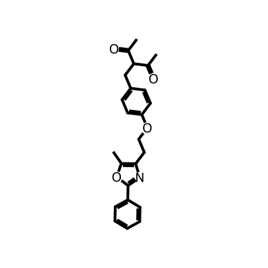 CC(=O)C(Cc1ccc(OCCc2nc(-c3ccccc3)oc2C)cc1)C(C)=O